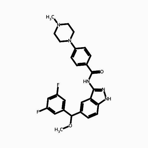 COC(c1cc(F)cc(F)c1)c1ccc2[nH]nc(NC(=O)c3ccc(N4CCN(C)CC4)cc3)c2c1